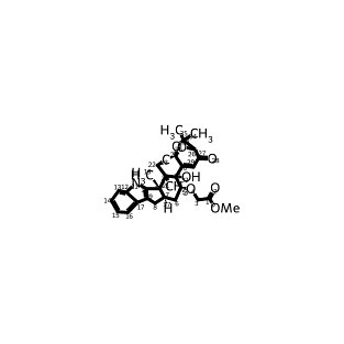 COC(=O)CO[C@H]1C[C@H]2Cc3c([nH]c4ccccc34)[C@]2(C)C2(C)CC[C@@]34OC(C(=O)C=C3[C@]12O)C(C)(C)O4